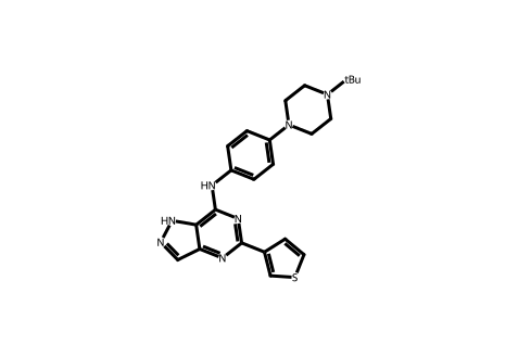 CC(C)(C)N1CCN(c2ccc(Nc3nc(-c4ccsc4)nc4cn[nH]c34)cc2)CC1